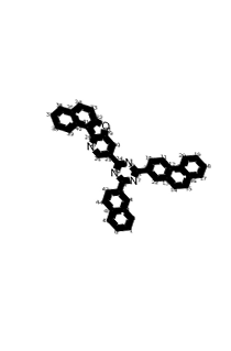 c1ccc2cc(-c3nc(-c4ccc5c(ccc6ccccc65)c4)nc(-c4cnc5c(c4)oc4ccc6ccccc6c45)n3)ccc2c1